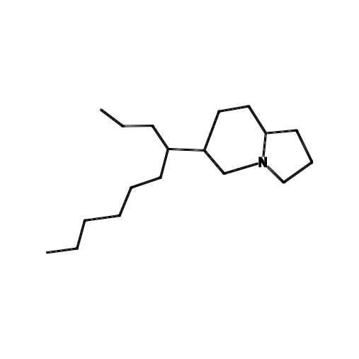 CCCCCCC(CCC)C1CCC2CCCN2C1